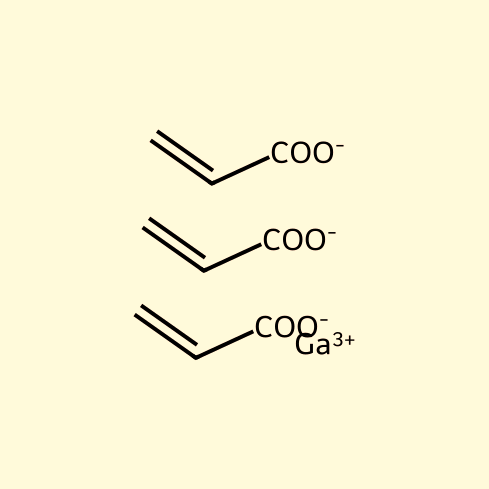 C=CC(=O)[O-].C=CC(=O)[O-].C=CC(=O)[O-].[Ga+3]